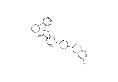 O=C(Cc1cc(F)ccc1F)N1CCN(CCCCC2(C(=O)NCC(F)(F)F)c3ccccc3-c3ccccc32)CC1